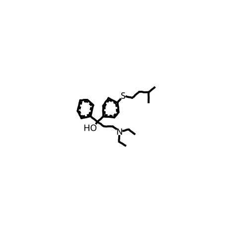 CCN(CC)CCC(O)(c1ccccc1)c1ccc(SCCC(C)C)cc1